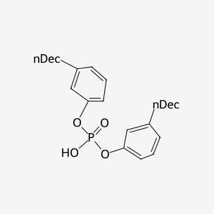 CCCCCCCCCCc1cccc(OP(=O)(O)Oc2cccc(CCCCCCCCCC)c2)c1